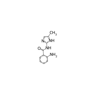 Cc1cnc(NC(=O)c2ccccc2N)[nH]1